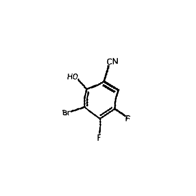 N#Cc1cc(F)c(F)c(Br)c1O